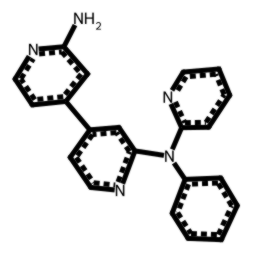 Nc1cc(-c2ccnc(N(c3ccccc3)c3ccccn3)c2)ccn1